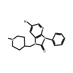 CN1CCC(Cn2c(=O)n(-c3ccccc3)c3ncc(Br)cc32)CC1